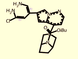 CC(C)COC(=O)N1C2CCC1CN(c1ccnn3cc(C(/C=C(\N)Cl)=C/N)cc13)C2